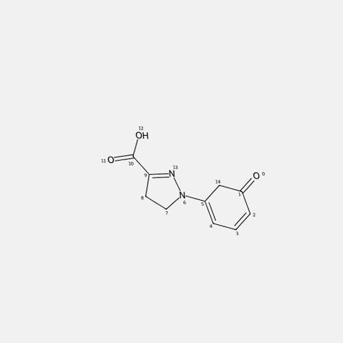 O=C1C=CC=C(N2CCC(C(=O)O)=N2)C1